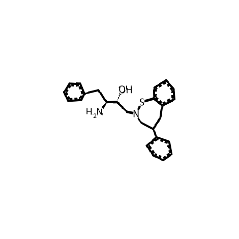 N[C@@H](Cc1ccccc1)[C@H](O)CN1CC(c2ccccc2)Cc2ccccc2S1